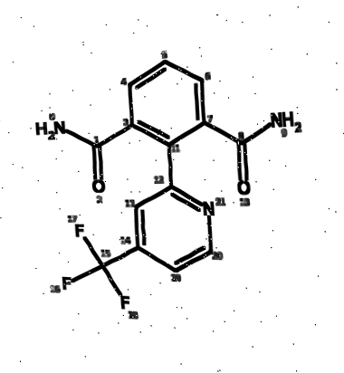 NC(=O)c1cccc(C(N)=O)c1-c1cc(C(F)(F)F)ccn1